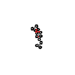 c1ccc([Si](c2ccccc2)(c2cccc3c2oc2ccc(-c4cccc(-n5c6ccccc6c6ccccc65)c4)cc23)c2cccc3c2oc2ccc(-c4ccccc4-n4c5ccccc5c5ccccc54)cc23)cc1